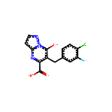 O=C(O)c1nc2ccnn2c(O)c1Cc1ccc(Cl)c(F)c1